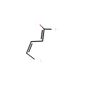 C/C=C\C=C(\C)O